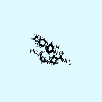 Cc1cc(Nc2nc(N[C@@H]3CCN(C(=O)O)C3)cnc2C(N)=O)ccc1N1CCC2(CC1)OCCO2